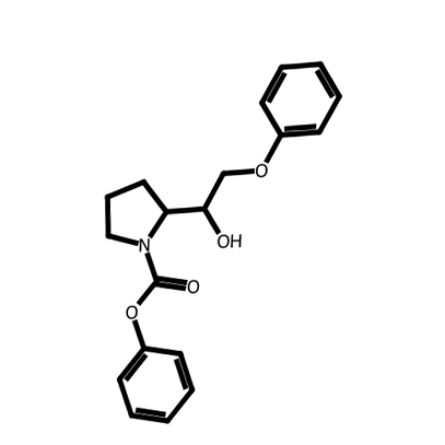 O=C(Oc1ccccc1)N1CCCC1C(O)COc1ccccc1